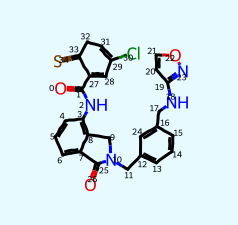 O=C(Nc1cccc2c1CN(Cc1cccc(CNc3ccon3)c1)C2=O)C1=CC(Cl)=CCC1=S